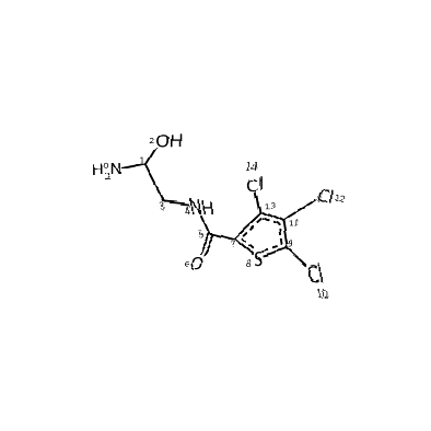 NC(O)CNC(=O)c1sc(Cl)c(Cl)c1Cl